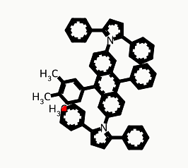 CC1=C(C)C(C)CC(c2c3cc(-n4c(-c5ccccc5)ccc4-c4ccccc4)ccc3c(-c3ccccc3)c3cc(-n4c(-c5ccccc5)ccc4-c4ccccc4)ccc23)=C1